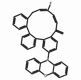 C=C1/C=C\C(F)=C/Cc2ccccc2-c2ccccc2-c2cc(N3c4ccccc4Oc4ccccc43)ccc21